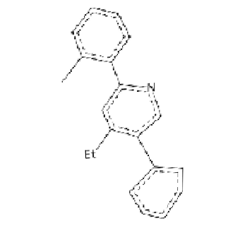 CCc1cc(-c2ccccc2C)ncc1-c1ccccc1